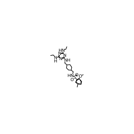 CCNc1nc(NCC)nc(NCC2CCC(CNS(=O)(=O)c3cc(C)ccc3OC)CC2)n1